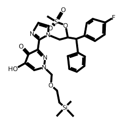 C[Si](C)(C)CCOCn1cc(O)c(=O)c(-c2nccn2CC(OS(C)(=O)=O)C(c2ccccc2)c2ccc(F)cc2)n1